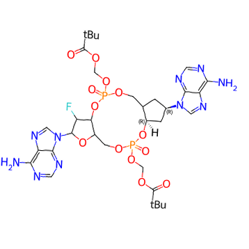 CC(C)(C)C(=O)OCOP1(=O)OCC2C[C@@H](n3cnc4c(N)ncnc43)C[C@H]2OP(=O)(OCOC(=O)C(C)(C)C)OCC2OC(n3cnc4c(N)ncnc43)C(F)C2O1